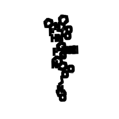 COc1cc2c(Oc3ccc(NC(=O)c4cn(-c5ccccc5F)c5ccccc5c4=O)cc3F)ccnc2cc1OCCCN1CCOCC1.Cl.Cl